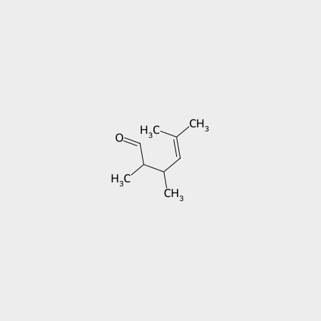 CC(C)=CC(C)C(C)C=O